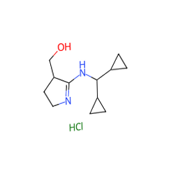 Cl.OCC1CCN=C1NC(C1CC1)C1CC1